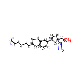 C/C=C\CCCC[C@H]1CCc2cc([C@H]3CC[C@](N)(CO)C3)ccc2C1